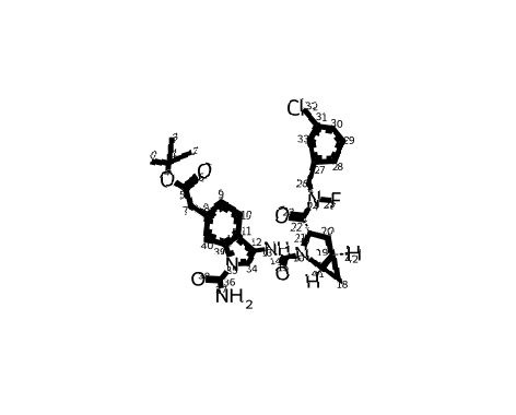 CC(C)(C)OC(=O)Cc1ccc2c(NC(=O)N3[C@@H]4C[C@@H]4C[C@H]3C(=O)N(F)Cc3cccc(Cl)c3)cn(C(N)=O)c2c1